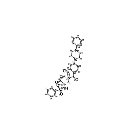 O=C(NC[C@H](NS(=O)(=O)c1ccccc1)C(=O)O)c1ccc(N2CCN(c3ncccn3)CC2)cc1Cl